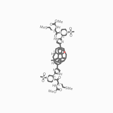 COC(=O)N[C@@H](CCSC)C(=O)N1CCN(S(C)(=O)=O)C[C@H]1c1nc(-c2ccc(C3=CC4=CC[C@@H]3C[C@@H](C)c3ccc(c(-c5ccc(-c6c[nH]c([C@@H]7CN(S(C)(=O)=O)CCN7C(=O)[C@H](CCSC)NC(=O)OC)n6)cc5)c3)CC4)cc2)c[nH]1